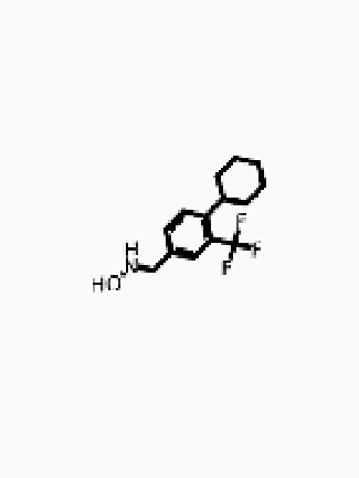 ONCc1ccc(C2CCCCC2)c(C(F)(F)F)c1